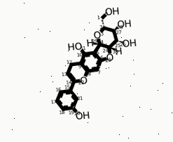 OC[C@H]1O[C@H]2c3c(cc4c(c3O)CC=C(c3cccc(O)c3)O4)O[C@H]2[C@@H](O)[C@@H]1O